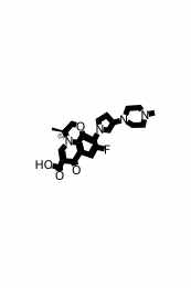 C[C@H]1COc2c(N3CCC(N4CCN(C)CC4)C3)c(F)cc3c(=O)c(C(=O)O)cn1c23